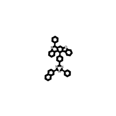 c1ccc(-c2nc(-c3ccc(-c4c5c(cc6c(-c7ccccc7)nc7ccccc7c46)oc4ccccc45)cc3)nc(-c3ccc4ccccc4c3)n2)cc1